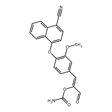 COc1cc(/C=C(/C=O)OC(N)=O)ccc1Oc1ccc(C#N)c2ccccc12